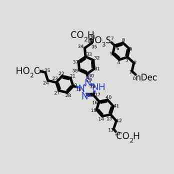 CCCCCCCCCCCCc1ccc(S(=O)(=O)O)cc1.O=C(O)CCc1ccc(C2=NN(c3ccc(CCC(=O)O)cc3)N(c3ccc(CCC(=O)O)cc3)N2)cc1